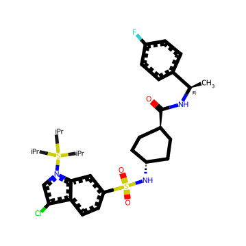 CC(C)S(C(C)C)(C(C)C)n1cc(Cl)c2ccc(S(=O)(=O)N[C@H]3CC[C@H](C(=O)N[C@H](C)c4ccc(F)cc4)CC3)cc21